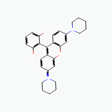 Oc1cccc(O)c1-c1c2ccc(=[N+]3CCCCC3)cc-2oc2cc(N3CCCCC3)ccc12